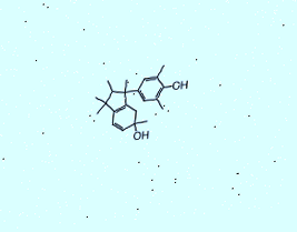 Cc1cc(C2(C)C3=C(C=CC(C)(O)C3)C(C)(C)C2C)cc(C)c1O